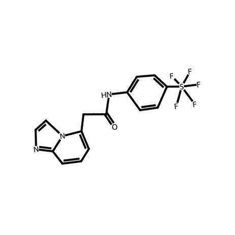 O=C(Cc1cccc2nccn12)Nc1ccc(S(F)(F)(F)(F)F)cc1